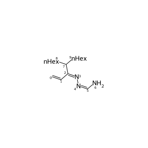 C=C/C(=N\N=C/N)C(CCCCCC)CCCCCC